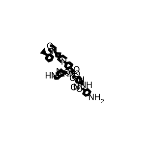 NC1CCC(CNc2ncc(S(=O)(=O)NC(=O)c3ccc(N4CCC5(CC4)CC(N4CCOC[C@H]4c4ccccc4C4CC4)C5)cc3Oc3cnc4[nH]ccc4c3)cc2[N+](=O)[O-])CC1